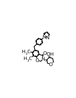 Cc1c(Cc2ccc(-n3cccn3)cc2)cc2c(c1C)OCN([C@H]1COCC[C@@H]1O)C2=O